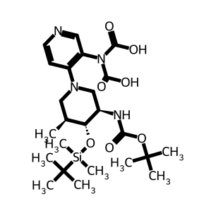 C[C@H]1CN(c2ccncc2N(C(=O)O)C(=O)O)C[C@@H](NC(=O)OC(C)(C)C)[C@@H]1O[Si](C)(C)C(C)(C)C